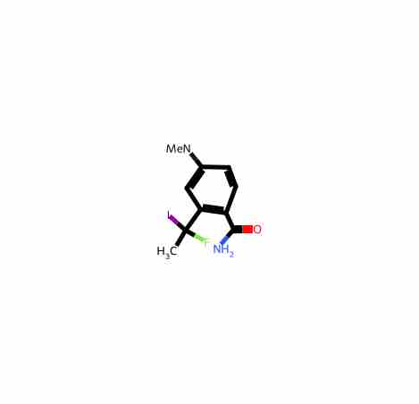 CNc1ccc(C(N)=O)c(C(C)(F)I)c1